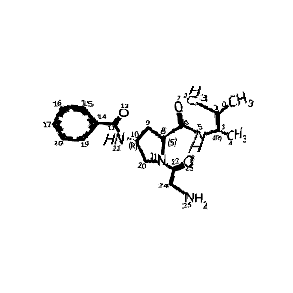 CC(C)[C@@H](C)NC(=O)[C@@H]1C[C@@H](NC(=O)c2ccccc2)CN1C(=O)CN